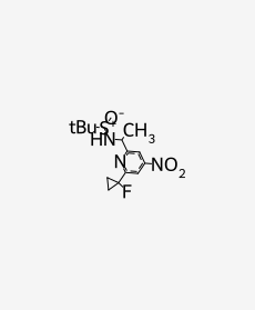 CC(N[S+]([O-])C(C)(C)C)c1cc([N+](=O)[O-])cc(C2(F)CC2)n1